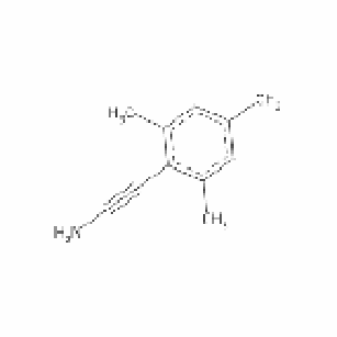 Cc1cc(C)c(C#CN)c(C)c1